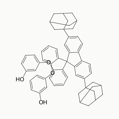 Oc1cccc(Oc2ccccc2C2(c3ccccc3Oc3cccc(O)c3)c3cc(C45CC6CC(CC(C6)C4)C5)ccc3-c3ccc(C45CC6CC(CC(C6)C4)C5)cc32)c1